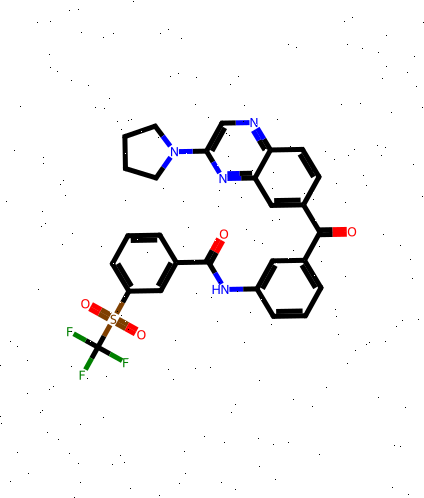 O=C(Nc1cccc(C(=O)c2ccc3ncc(N4CCCC4)nc3c2)c1)c1cccc(S(=O)(=O)C(F)(F)F)c1